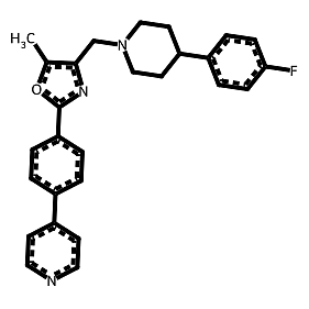 Cc1oc(-c2ccc(-c3ccncc3)cc2)nc1CN1CCC(c2ccc(F)cc2)CC1